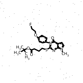 Cn1ccc2c(=O)n(-c3ccc(OCCF)cc3)c(SCCCC(=O)OC(C)(C)C)nc21